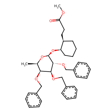 COC(=O)CC[C@H]1CCC[CH][C@H]1O[C@@H]1O[C@H](C)[C@H](OCc2ccccc2)[C@H](OCc2ccccc2)[C@H]1OCc1ccccc1